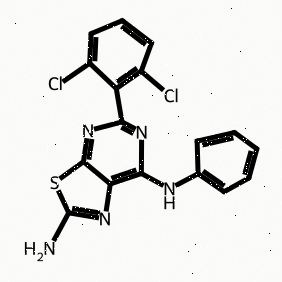 Nc1nc2c(Nc3ccccc3)nc(-c3c(Cl)cccc3Cl)nc2s1